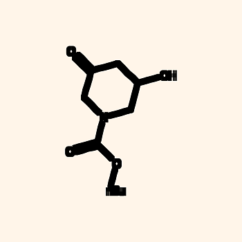 CCCCOC(=O)N1CC(=O)CC(O)C1